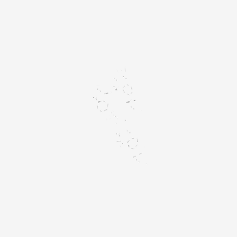 CCC1NC(=O)c2cc(S(N)(=O)=O)c(Cl)cc2N1.NS(=O)(=O)c1cc2c(cc1Cl)NC(C(Cl)(Cl)Cl)NS2(=O)=O.NS(=O)(=O)c1cc2c(cc1Cl)NC(C(Cl)Cl)NS2(=O)=O